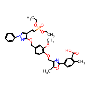 CCOP(=O)(C=Cc1cn(-c2ccccc2)nc1OCc1ccc(OCc2nc(-c3ccc(C)c(C(=O)O)c3)oc2C)c(OC)c1)OCC